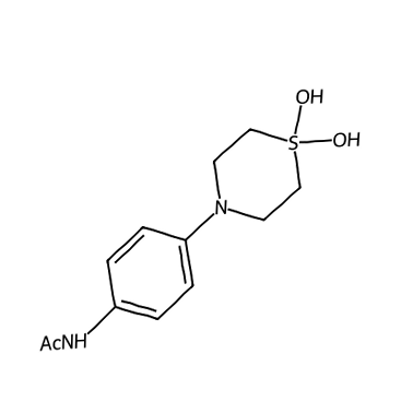 CC(=O)Nc1ccc(N2CCS(O)(O)CC2)cc1